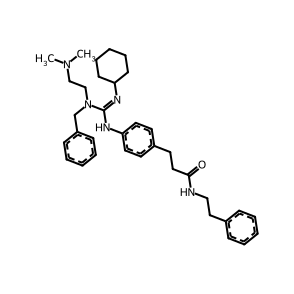 CN(C)CCN(Cc1ccccc1)/C(=N\C1CCCCC1)Nc1ccc(CCC(=O)NCCc2ccccc2)cc1